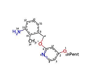 CCCCCOc1ccnc(OCc2cccc(N)c2C)c1